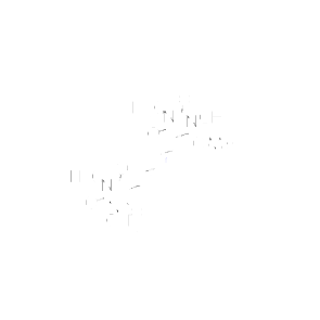 COc1c(/C=C/C=C/C=C2C(=O)N(C)C(=O)N(C)C2=O)c(=O)n(C)c(=O)n1C